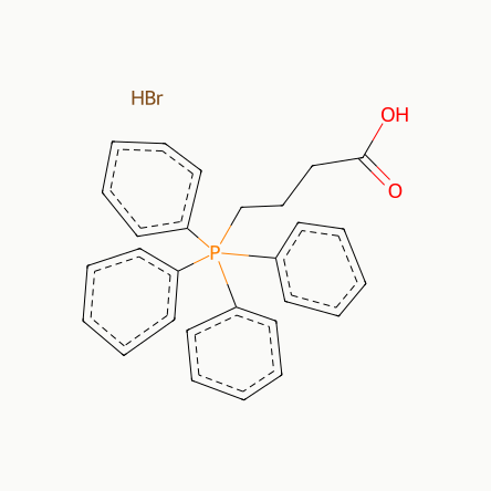 Br.O=C(O)CCCP(c1ccccc1)(c1ccccc1)(c1ccccc1)c1ccccc1